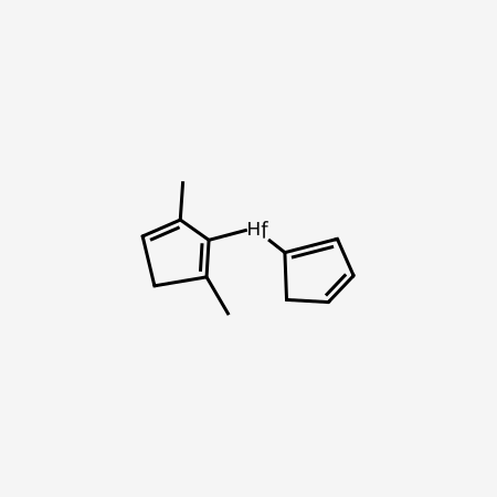 CC1=CCC(C)=[C]1[Hf][C]1=CC=CC1